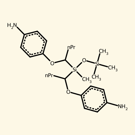 CCCC(Oc1ccc(N)cc1)[Si](C)(O[Si](C)(C)C)C(CCC)Oc1ccc(N)cc1